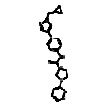 O=C(Nc1ccc(-c2cnn(CC3CC3)c2)cc1)[C@H]1CCN(c2cccnn2)C1